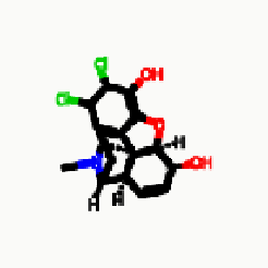 CN1CC[C@@]23C4=C5C[C@@H]1[C@@H]2C=C[C@H](O)[C@@H]3OC4=C(O)C(Cl)C5Cl